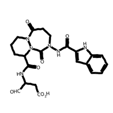 O=CC(CC(=O)O)NC(=O)C1CCCN2C(=O)CCN(NC(=O)c3cc4ccccc4[nH]3)C(=O)N12